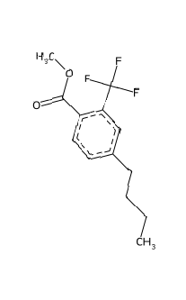 CCCCc1ccc(C(=O)OC)c(C(F)(F)F)c1